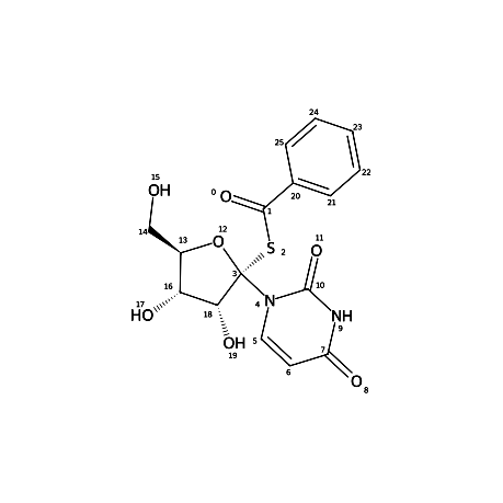 O=C(S[C@@]1(n2ccc(=O)[nH]c2=O)O[C@H](CO)[C@@H](O)[C@H]1O)c1ccccc1